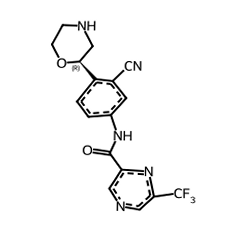 N#Cc1cc(NC(=O)c2cncc(C(F)(F)F)n2)ccc1[C@@H]1CNCCO1